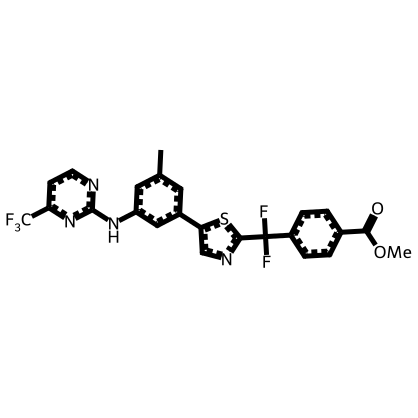 COC(=O)c1ccc(C(F)(F)c2ncc(-c3cc(C)cc(Nc4nccc(C(F)(F)F)n4)c3)s2)cc1